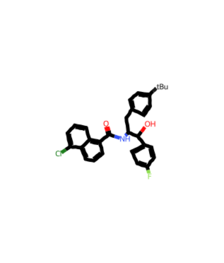 CC(C)(C)c1ccc(CC(NC(=O)c2cccc3c(Cl)cccc23)C(O)c2ccc(F)cc2)cc1